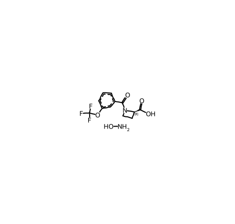 NO.O=C(O)[C@H]1CCN1C(=O)c1cccc(OC(F)(F)F)c1